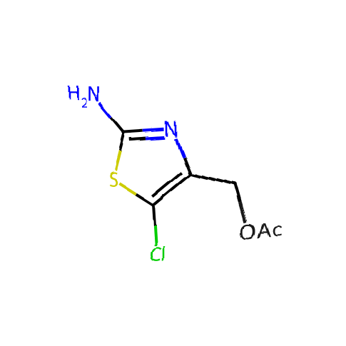 CC(=O)OCc1nc(N)sc1Cl